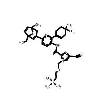 CC1(C)CC=C(c2nc(C3=CC4(CO)C=CC(C)(C3)O4)ccc2NC(=O)c2nc(C#N)cn2COCC[Si](C)(C)C)CC1